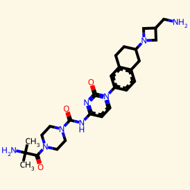 CC(C)(N)C(=O)N1CCN(C(=O)Nc2ccn(-c3ccc4c(c3)CCC(N3CC(CN)C3)C4)c(=O)n2)CC1